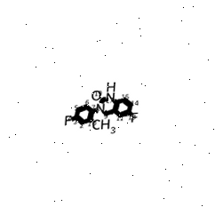 Cc1cc(F)ccc1N1Cc2cc(F)ccc2NC1=O